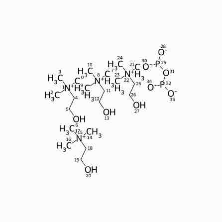 C[N+](C)(C)CCO.C[N+](C)(C)CCO.C[N+](C)(C)CCO.C[N+](C)(C)CCO.[O-]P([O-])OP([O-])[O-]